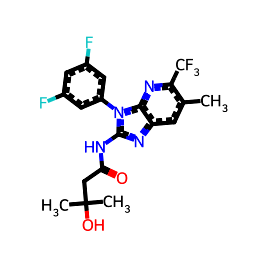 Cc1cc2nc(NC(=O)CC(C)(C)O)n(-c3cc(F)cc(F)c3)c2nc1C(F)(F)F